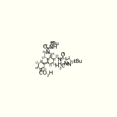 Cn1nc(C(C)(C)C)cc1C(=O)NCc1ccc(-c2cccc(C(=O)O)c2)c2c1CN(C(=O)NC(C)(C)C)CC2